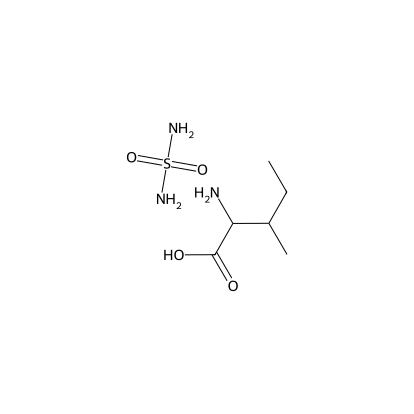 CCC(C)C(N)C(=O)O.NS(N)(=O)=O